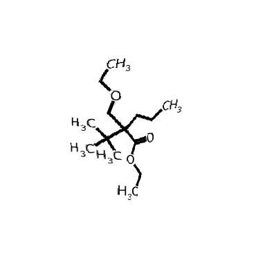 CCCC(COCC)(C(=O)OCC)C(C)(C)C